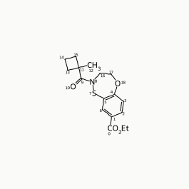 CCOC(=O)c1ccc2c(c1)SN(C(=O)C1(C)CCC1)CCO2